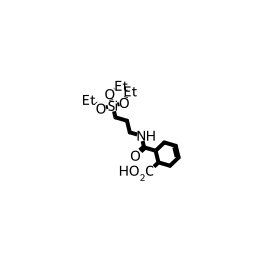 CCO[Si](CCCNC(=O)C1CC=CCC1C(=O)O)(OCC)OCC